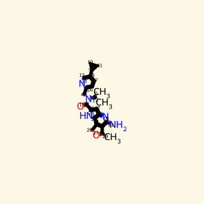 CC(C)N(Cc1ccc(C2CC2)cn1)C(=O)c1cc2nc(N)c3c(c2[nH]1)CO[C@@H]3C